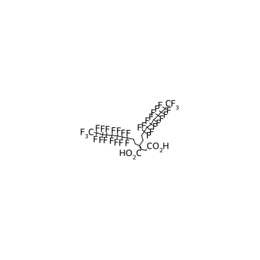 O=C(O)CC(C(=O)O)=C(CCC(F)(F)C(F)(F)C(F)(F)C(F)(F)C(F)(F)C(F)(F)C(F)(F)C(F)(F)F)CCC(F)(F)C(F)(F)C(F)(F)C(F)(F)C(F)(F)C(F)(F)C(F)(F)C(F)(F)F